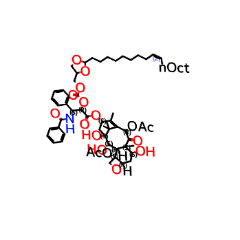 CCCCCCCC/C=C\CCCCCCCCC1OCC(COC(=O)O[C@@H](C(=O)O[C@H]2C[C@@]3(O)[C@@H](O)[C@@H]4[C@]5(OC(C)=O)CO[C@@H]5C[C@H](O)[C@@]4(C)C(=O)[C@H](OC(C)=O)C(=C2C)C3(C)C)[C@@H](NC(=O)c2ccccc2)c2ccccc2)O1